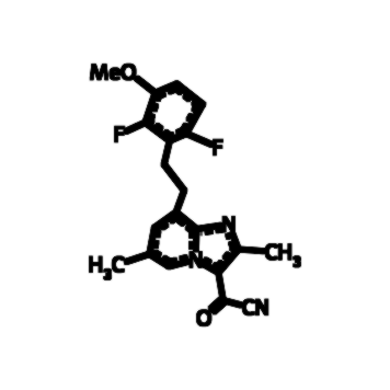 COc1ccc(F)c(CCc2cc(C)cn3c(C(=O)C#N)c(C)nc23)c1F